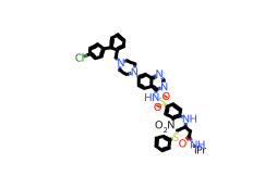 CC(C)NC(=O)CC(CSc1ccccc1)Nc1ccc(S(=O)(=O)Nc2ncnc3cc(N4CCN(Cc5ccccc5-c5ccc(Cl)cc5)CC4)ccc23)cc1[N+](=O)[O-]